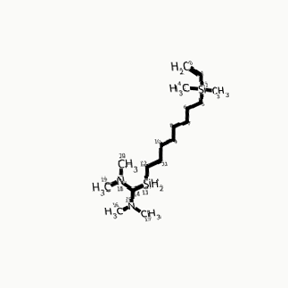 C=C[Si](C)(C)CCCCCCCC[SiH2]C(N(C)C)N(C)C